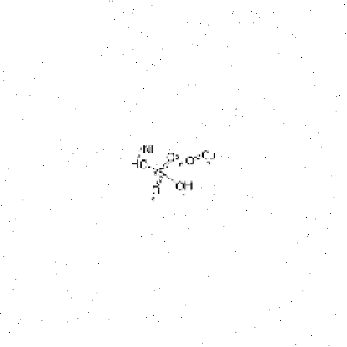 O=S(=O)(O)O.[Ni].[O]=[Cu]